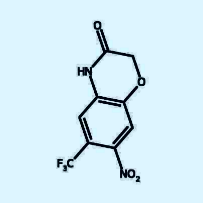 O=C1COc2cc([N+](=O)[O-])c(C(F)(F)F)cc2N1